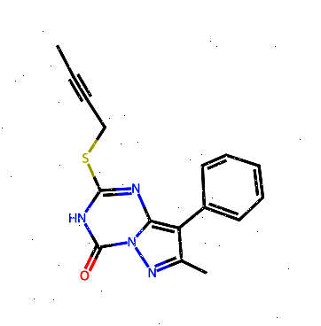 CC#CCSc1nc2c(-c3ccccc3)c(C)nn2c(=O)[nH]1